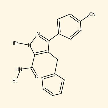 CCNC(=O)c1c(Cc2ccccc2)c(-c2ccc(C#N)cc2)nn1C(C)C